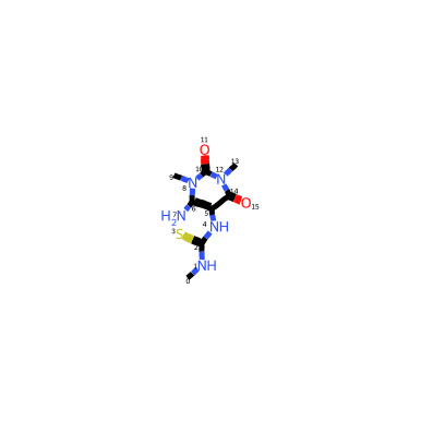 CNC(=S)Nc1c(N)n(C)c(=O)n(C)c1=O